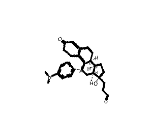 CN(C)c1ccc([C@H]2C[C@@]3(C)[C@H](CC[C@@]3(O)CCC=O)[C@@H]3CCC4=CC(=O)CCC4=C32)cc1